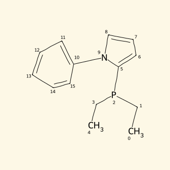 CCP(CC)c1cccn1-c1ccccc1